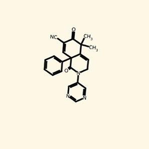 CC1(C)C(=O)C(C#N)=CC2(c3ccccc3)C(=O)N(c3cncnc3)CC=C12